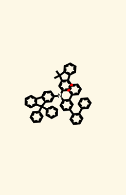 CC1(C)c2ccccc2-c2ccc(N(c3ccc4c(c3)C(c3ccccc3)(c3ccccc3)c3ccccc3-4)c3ccc(-c4ccccc4-c4ccccc4)cc3-c3ccccc3)cc21